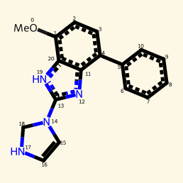 COc1ccc(-c2ccccc2)c2nc(N3C=CNC3)[nH]c12